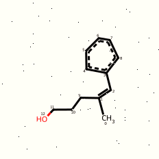 CC(=Cc1ccccc1)CCCO